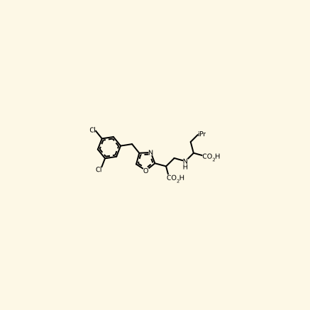 CC(C)CC(NCC(C(=O)O)c1nc(Cc2cc(Cl)cc(Cl)c2)co1)C(=O)O